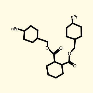 CCCC1CCC(COC(=O)C2CCCCC2C(=O)OCC2CCC(CCC)CC2)CC1